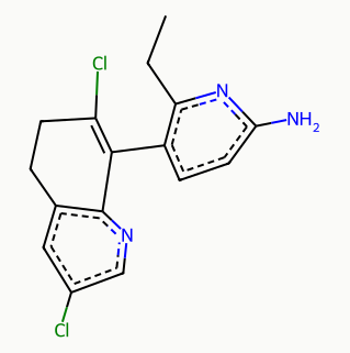 CCc1nc(N)ccc1C1=C(Cl)CCc2cc(Cl)cnc21